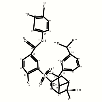 C[C@H]1C2CC(S(=O)(=O)c3cc(C(=O)Nc4ccc(F)c(F)c4)ccc3Cl)CC1[C@@]2(O)C(O)c1cccc(C(F)F)n1